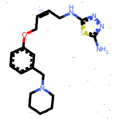 Nc1nnc(NC/C=C\COc2cccc(CN3CCCCC3)c2)s1